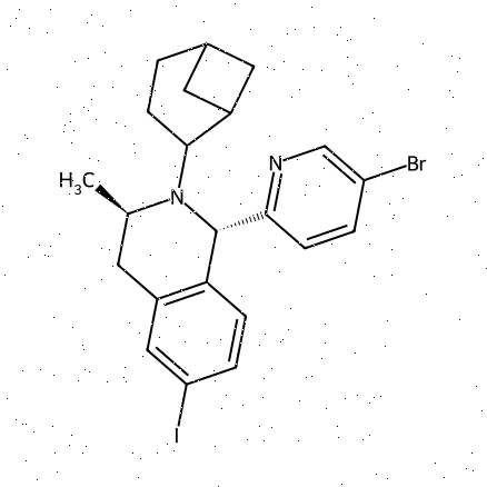 C[C@@H]1Cc2cc(I)ccc2[C@@H](c2ccc(Br)cn2)N1C1CCC2CC1C2